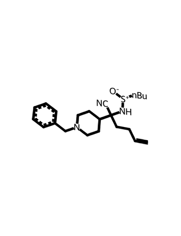 C=CCCC(C#N)(N[S+]([O-])CCCC)C1CCN(Cc2ccccc2)CC1